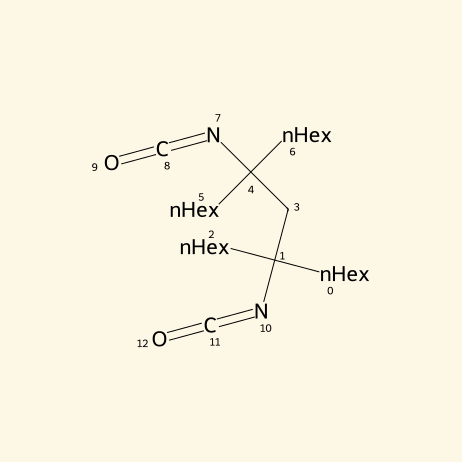 CCCCCCC(CCCCCC)(CC(CCCCCC)(CCCCCC)N=C=O)N=C=O